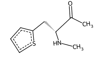 CN[C@H](Cc1cccs1)C(C)=O